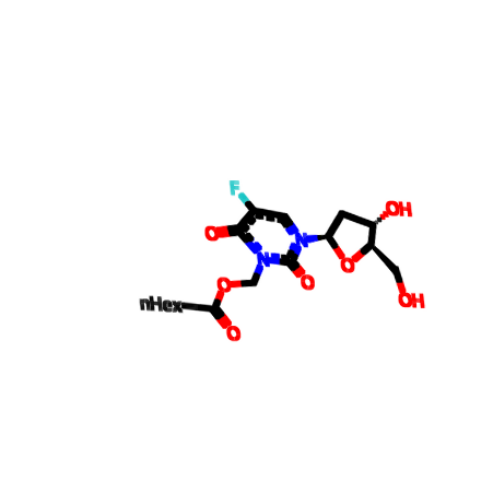 CCCCCCC(=O)OCn1c(=O)c(F)cn([C@H]2C[C@H](O)[C@@H](CO)O2)c1=O